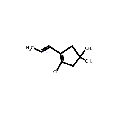 C/C=C/C1=C(Cl)CC(C)(C)C1